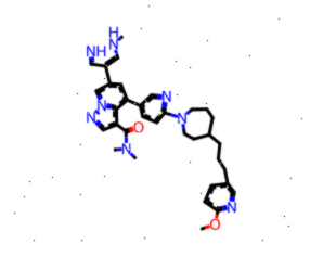 CN/C=C(\C=N)c1cc(-c2ccc(N3CCCC(CCCc4ccc(OC)nc4)CC3)nc2)c2c(C(=O)N(C)C)cnn2c1